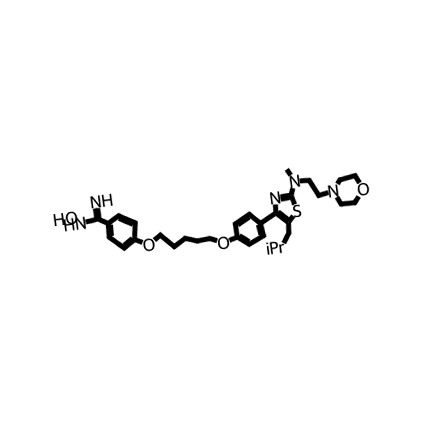 CC(C)Cc1sc(N(C)CCN2CCOCC2)nc1-c1ccc(OCCCCCOc2ccc(C(=N)NO)cc2)cc1